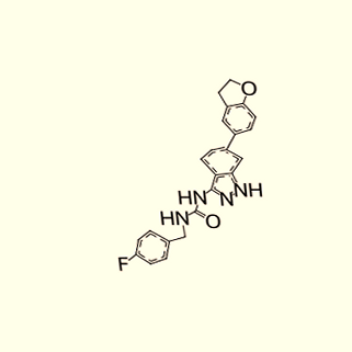 O=C(NCc1ccc(F)cc1)Nc1n[nH]c2cc(-c3ccc4c(c3)CCO4)ccc12